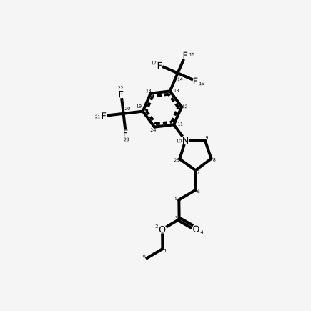 CCOC(=O)CCC1CCN(c2cc(C(F)(F)F)cc(C(F)(F)F)c2)C1